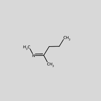 CCC/C(C)=N\C